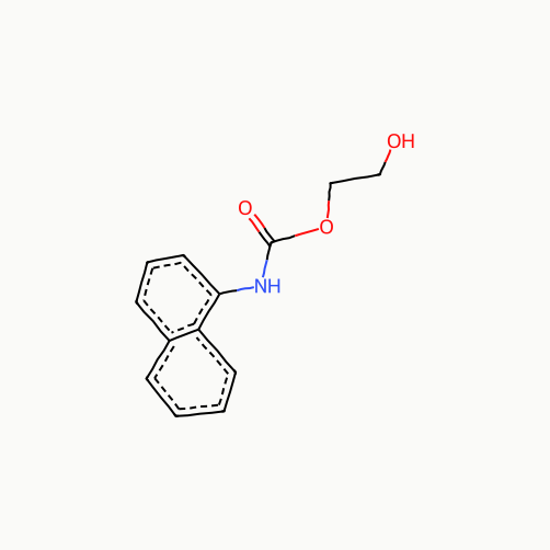 O=C(Nc1cccc2ccccc12)OCCO